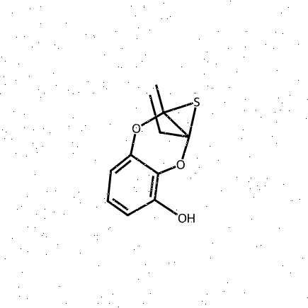 CCC12Oc3c(O)cccc3OC1(C)S2